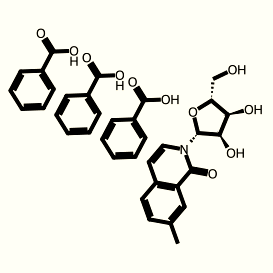 Cc1ccc2ccn([C@@H]3O[C@H](CO)[C@@H](O)[C@H]3O)c(=O)c2c1.O=C(O)c1ccccc1.O=C(O)c1ccccc1.O=C(O)c1ccccc1